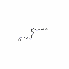 CC/C=C\CC/C=C/C=C\C/C=C\C/C=C\C=C\CCCC(=O)O